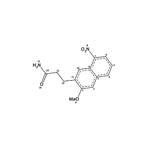 COc1cc2cccc([N+](=O)[O-])c2cc1CCC(N)=O